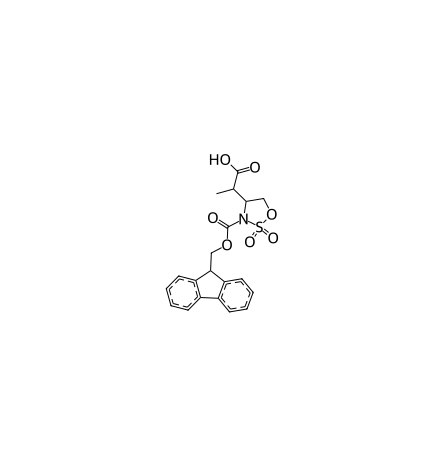 CC(C(=O)O)C1COS(=O)(=O)N1C(=O)OCC1c2ccccc2-c2ccccc21